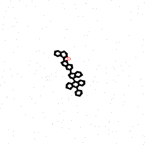 c1ccc(-c2c3ccccc3c(-c3ccc(-c4ccc5c(ccc6c5oc5ccc7ccccc7c56)c4)c4ccccc34)c3ccccc23)cc1